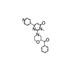 Cn1c(N2CCOC(C(=O)c3ccccc3)C2)nc(-c2ccncc2)cc1=O